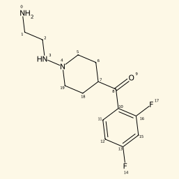 NCCNN1CCC(C(=O)c2ccc(F)cc2F)CC1